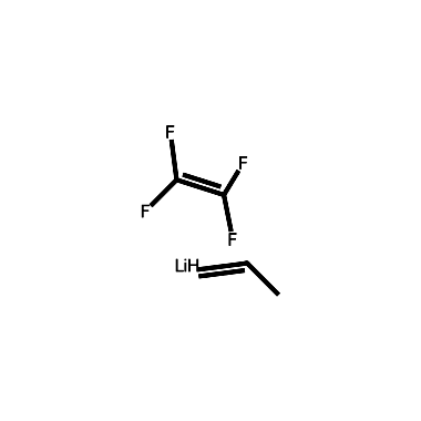 C=CC.FC(F)=C(F)F.[LiH]